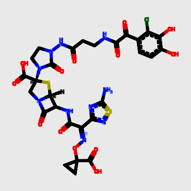 Nc1nc(/C(=N/OC2(C(=O)O)CC2)C(=O)NC2C(=O)N3C[C@@](C(=O)O)(N4CCN(NC(=O)CCNC(=O)C(=O)c5ccc(O)c(O)c5Cl)C4=O)S[C@H]23)ns1